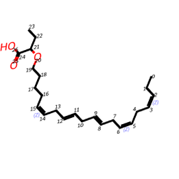 CC/C=C\C/C=C\CC=CCC=CC/C=C\CCCCOC(CC)C(=O)O